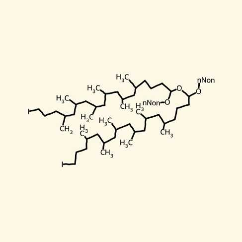 CCCCCCCCCOC(CCCC(C)CC(C)CC(C)CC(C)CC(C)CC(C)CCCI)OC(CCCC(C)CC(C)CC(C)CC(C)CC(C)CC(C)CCCI)OCCCCCCCCC